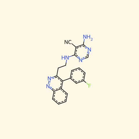 N#Cc1c(N)ncnc1NCCc1nnc2ccccc2c1-c1cccc(F)c1